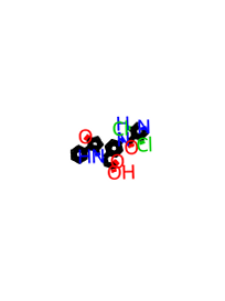 O=C(O)CC(NC1=C(c2ccccc2)C(=O)CC1)c1ccc(NC(=O)c2c(Cl)cncc2Cl)cc1